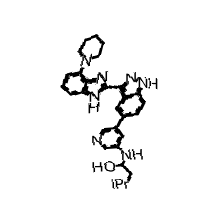 CC(C)CC(O)Nc1cncc(-c2ccc3[nH]nc(-c4nc5c(N6CCCCC6)cccc5[nH]4)c3c2)c1